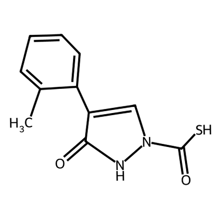 Cc1ccccc1-c1cn(C(=O)S)[nH]c1=O